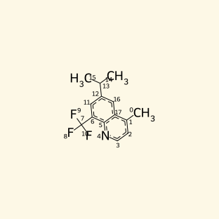 Cc1ccnc2c(C(F)(F)F)cc(C(C)C)cc12